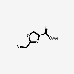 CCC(C)CC1N[C@H](C(=O)OC)CO1